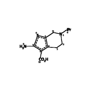 CC(C)N1CCc2c(sc(N)c2C(=O)O)C1